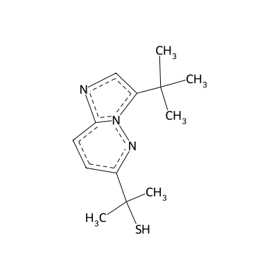 CC(C)(C)c1cnc2ccc(C(C)(C)S)nn12